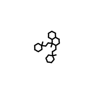 CC1(CCC2CCC3CCCCC3C2(C)CCC2(C)CCCCC2)CCCCC1